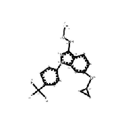 CONc1nn(-c2ccc(C(F)(F)F)cc2)c2cc(OC3CC3)ccc12